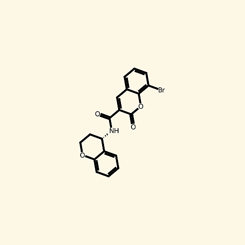 O=C(N[C@H]1CCOc2ccccc21)c1cc2cccc(Br)c2oc1=O